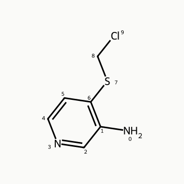 Nc1cnccc1SCCl